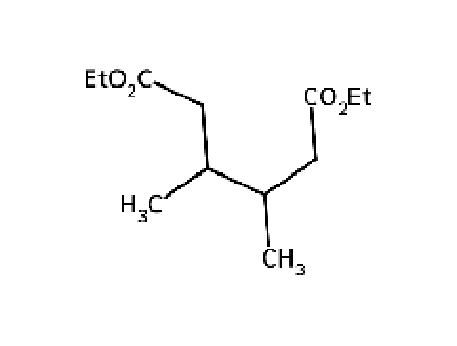 CCOC(=O)CC(C)C(C)CC(=O)OCC